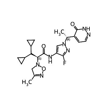 CC1=NON([C@H](C(=O)Nc2cn([C@H](C)c3ccn[nH]c3=O)nc2F)C(C2CC2)C2CC2)C1